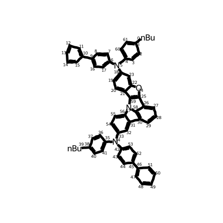 CCCCc1ccc(N(c2ccc(-c3ccccc3)cc2)c2ccc3c(c2)oc2c4cccc5c6cc(N(c7ccc(CCCC)cc7)c7ccc(-c8ccccc8)cc7)ccc6n(c54)c32)cc1